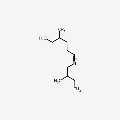 CCC(C)CC/C=N\CC(C)CC